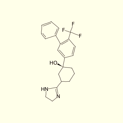 O[C@@]1(c2ccc(C(F)(F)F)c(-c3ccccc3)c2)CCCC(C2=NCCN2)C1